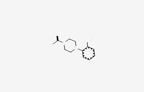 Cc1ccccc1N1CCN(C(=O)Cl)CC1